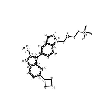 C[Si](C)(C)CCOCn1ncc2cc(-n3c(C(F)(F)F)nc4ccc(C5CCC5)nc43)ccc21